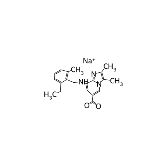 CCc1cccc(C)c1CNc1cc(C(=O)[O-])cn2c(C)c(C)nc12.[Na+]